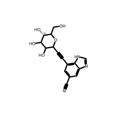 N#Cc1cc(C#CC2OC(CO)[C@@H](O)C(O)C2O)c2[nH]cnc2c1